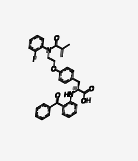 C=C(C)C(=O)N(CCOc1ccc(C[C@H](Nc2ccccc2C(=O)c2ccccc2)C(=O)O)cc1)c1ccccc1F